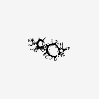 CC[C@H]1OC(=O)[C@H](C)C(=O)C(C)[C@@H](O[C@@H]2O[C@H](C)C[C@H](N(C)CC)[C@H]2O)[C@](C)(OC)C[C@@H](C)C(=O)[C@H](C)C2NC(=O)O[C@@]21C